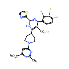 CCOC(=O)C1=C(C2CCN(c3cc(C(=O)O)nc(C)n3)CC2)NC(c2nccs2)=NC1c1ccc(F)c(F)c1Cl